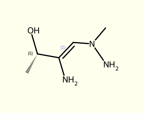 C[C@H](O)/C(N)=C/N(C)N